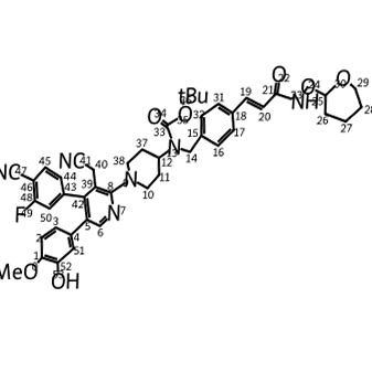 COc1ccc(-c2cnc(N3CCC(N(Cc4ccc(/C=C/C(=O)NOC5CCCCO5)cc4)C(=O)OC(C)(C)C)CC3)c(CC#N)c2-c2ccc(C#N)c(F)c2)cc1O